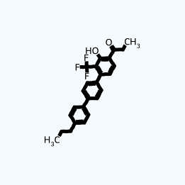 CCCc1ccc(-c2ccc(-c3ccc(C(=O)CC)c(O)c3C(F)(F)F)cc2)cc1